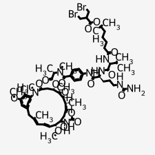 COc1cc2cc(c1Cl)N(C)C(=O)C[C@H](OC(=O)[C@H](C)N(C)C(=O)c1ccc(NC(=O)[C@H](CCCNC(N)=O)NC(=O)[C@@H](NC(=O)CCCCC(C)(C)OC(=O)C(CBr)CBr)C(C)C)cc1)[C@]1(C)O[C@H]1[C@H](C)[C@@H]1C[C@@](O)(NC(=O)O1)[C@H](OC)/C=C/C=C(\C)C2